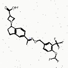 C/C(=N\OCc1ccc(OC(F)F)c(C(F)(F)F)c1)c1ccc2c(c1)CCC2N1CC(C(=O)O)C1